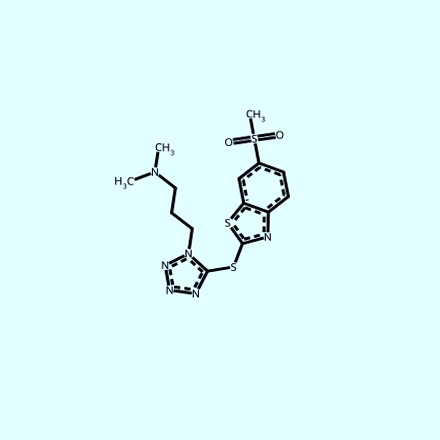 CN(C)CCCn1nnnc1Sc1nc2ccc(S(C)(=O)=O)cc2s1